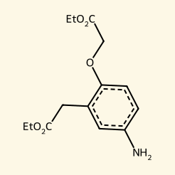 CCOC(=O)COc1ccc(N)cc1CC(=O)OCC